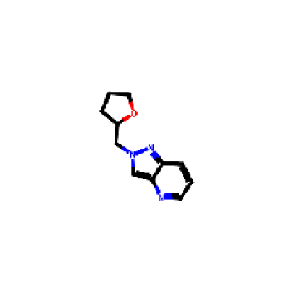 c1cnc2cn(CC3CCCO3)nc2c1